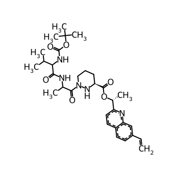 C=Cc1ccc2ccc([C@@H](C)OC(=O)[C@@H]3CCCN(C(=O)C(C)NC(=O)C(NC(=O)OC(C)(C)C)C(C)C)N3)nc2c1